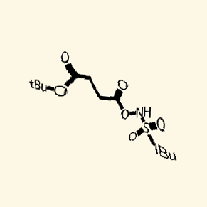 CCC(C)S(=O)(=O)NOC(=O)CCC(=O)OC(C)(C)C